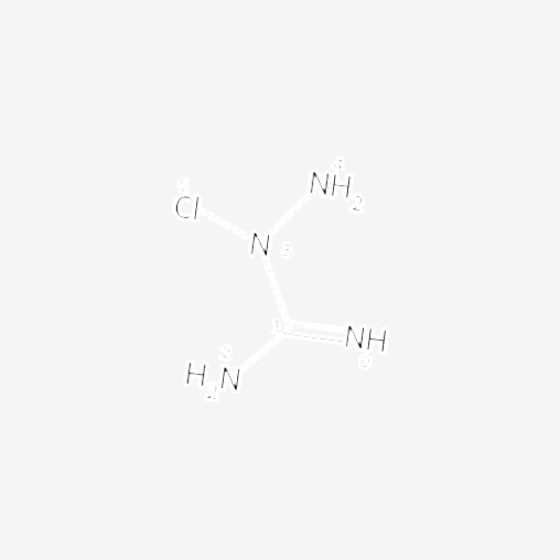 N=C(N)N(N)Cl